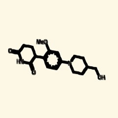 COc1cc(N2CCC(CO)CC2)ccc1C1CCC(=O)NC1=O